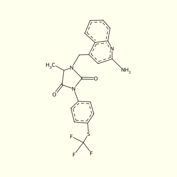 CC1C(=O)N(c2ccc(SC(F)(F)F)cc2)C(=O)N1Cc1cc(N)nc2ccccc12